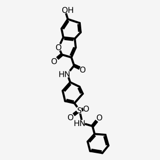 O=C(NS(=O)(=O)c1ccc(NC(=O)c2cc3ccc(O)cc3oc2=O)cc1)c1ccccc1